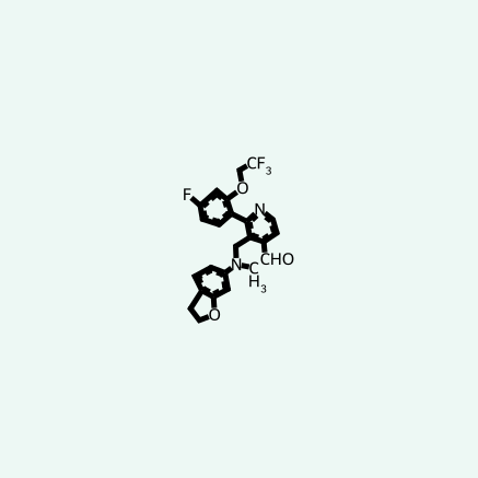 CN(Cc1c(C=O)ccnc1-c1ccc(F)cc1OCC(F)(F)F)c1ccc2c(c1)OCC2